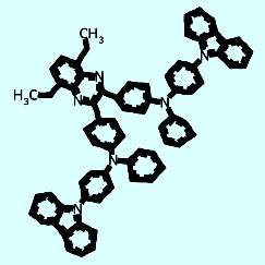 CCc1ccc(CC)c2nc(-c3ccc(N(c4ccccc4)c4ccc(-n5c6ccccc6c6ccccc65)cc4)cc3)c(-c3ccc(N(c4ccccc4)c4ccc(-n5c6ccccc6c6ccccc65)cc4)cc3)nc12